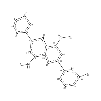 CNc1nc(-c2cnccn2)nc2c(OC)cc(-c3cccc(C)c3)cc12